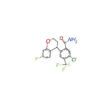 NC(=O)c1cc(Cl)c(C(F)(F)F)cc1C1CCOc2cc(F)ccc21